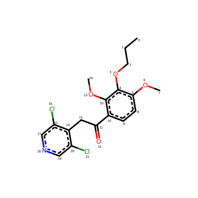 CCCOc1c(OC)ccc(C(=O)Cc2c(Cl)cncc2Cl)c1OC